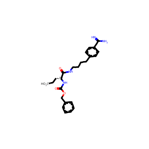 N=C(N)c1ccc(CCCCNC(=O)[C@@H](CCC(=O)O)NC(=O)OCc2ccccc2)cc1